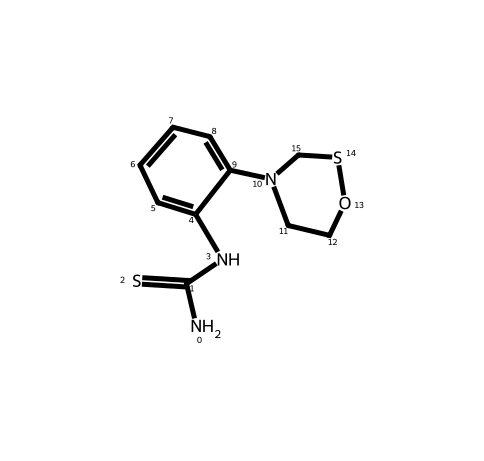 NC(=S)Nc1ccccc1N1CCOSC1